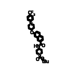 CC(C)(C)OC(=O)N1CCC(NC(=O)c2ccc3ccc(OC4CCN(c5ccc(C(F)(F)F)cc5)CC4)cc3c2)CC1